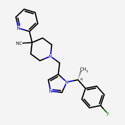 C[C@H](c1ccc(F)cc1)n1cncc1CN1CCC(C#N)(c2ccccn2)CC1